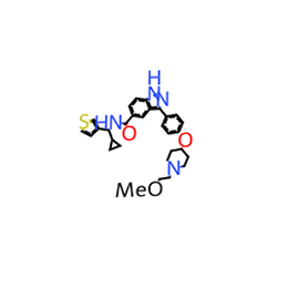 COCCN1CCC(Oc2ccc(-c3n[nH]c4ccc(C(=O)NC(c5ccsc5)C5CC5)cc34)cc2)CC1